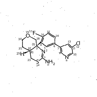 NC1=N[C@@]2(c3cc(-c4cncc(Cl)c4)ccc3F)COCC[C@H]2CS1